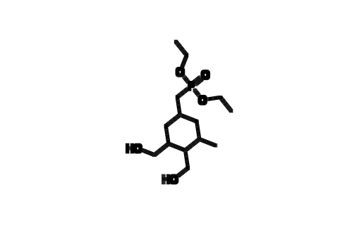 CCOP(=O)(CC1CC(C)C(CO)C(CO)C1)OCC